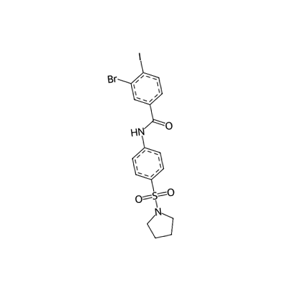 O=C(Nc1ccc(S(=O)(=O)N2CCCC2)cc1)c1ccc(I)c(Br)c1